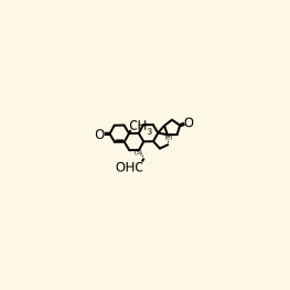 CC12CCC(=O)C=C1C[C@@H](CC=O)C1C2CCC23C1CC[C@]21CC(=O)CC31